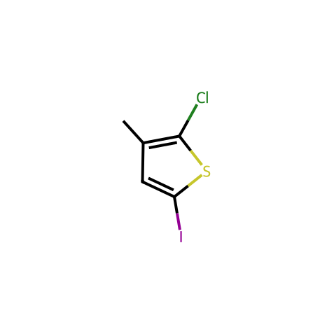 Cc1cc(I)sc1Cl